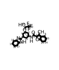 Cc1c(C(=O)N[C@@H]2CCC[C@H](c3nc4ccccc4[nH]3)C2)oc2ccccc12.O=C(O)C(F)(F)F